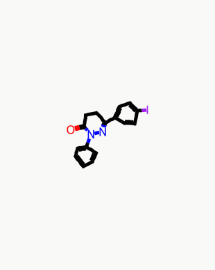 O=C1CCC(c2ccc(I)cc2)=NN1c1ccccc1